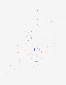 CCCC[C@@H](C(=O)N1CCC[C@@H]1C(=O)N[C@@H](CC(=O)O)C(=O)N[C@H](C(=O)N(C)[C@@H](Cc1ccc(C)cc1)C(C)=O)C(C)C)N(C)C(=O)C(Cc1ccccc1)N(C)C(=O)[C@H](Cc1ccc(F)cc1)NC(=O)CSC[C@H](NC(=O)[C@H](CC(C)C)NC(=O)[C@H](Cc1ccc(O)cc1)NC(=O)[C@H](Cc1c[nH]c2ccccc12)NC(=O)[C@H]1CCCN1C(=O)[C@@H](N)CCN)C(=O)NCC(N)=O